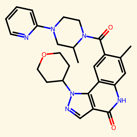 Cc1cc2[nH]c(=O)c3cnn(C4CCOCC4)c3c2cc1C(=O)N1CCN(c2ccccn2)CC1C